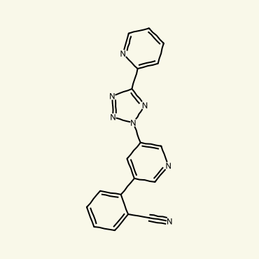 N#Cc1ccccc1-c1cncc(-n2nnc(-c3ccccn3)n2)c1